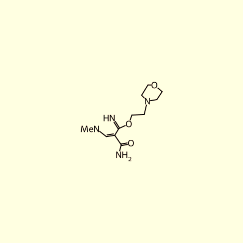 CN/C=C(\C(=N)OCCN1CCOCC1)C(N)=O